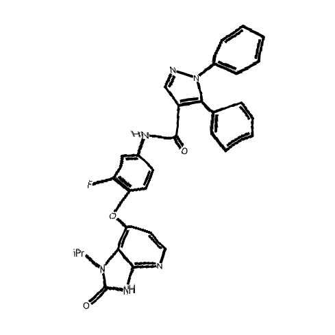 CC(C)n1c(=O)[nH]c2nccc(Oc3ccc(NC(=O)c4cnn(-c5ccccc5)c4-c4ccccc4)cc3F)c21